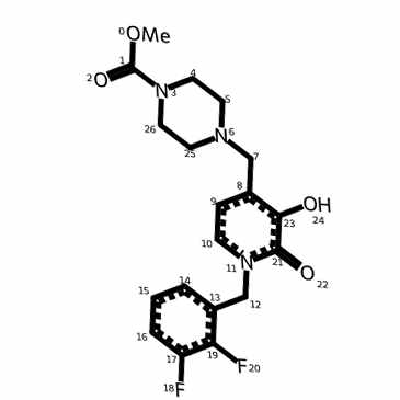 COC(=O)N1CCN(Cc2ccn(Cc3cccc(F)c3F)c(=O)c2O)CC1